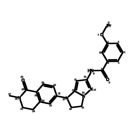 CC(C)Oc1cccc(C(=O)Nc2cc3n(n2)CCN3c2ccc3c(c2)CCN(C)C3=O)c1